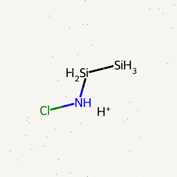 [H+].[SiH3][SiH2]NCl